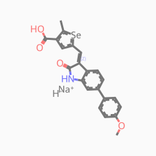 COc1ccc(-c2ccc3c(c2)NC(=O)/C3=C\c2cc(C(=O)O)c(C)[se]2)cc1.[H-].[Na+]